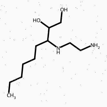 CCCCCCC(NCCN)C(O)CO